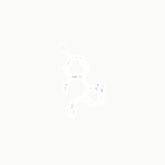 O=Cc1csnc1-c1ccc(F)cc1I